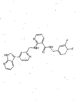 O=C(NCC1=CCC(F)C(F)=C1)c1cccnc1NCc1cc(-c2c[nH]c3ncccc23)ccn1